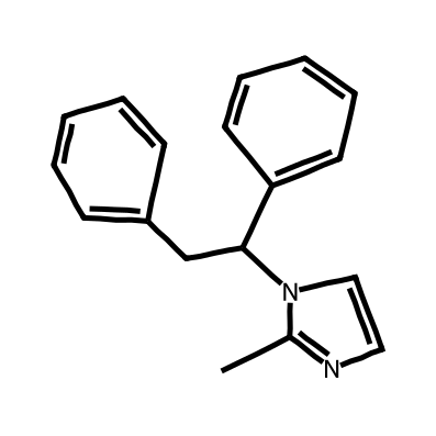 Cc1nccn1C(Cc1ccccc1)c1ccccc1